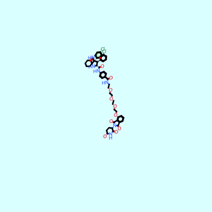 O=C1CCC(N2C(=O)c3cccc(OCCOCCOCCOCCNC(=O)c4ccc(NC(=O)[C@@H]5NC6(CCCCC6)[C@@]6(C(=O)Nc7cc(Cl)ccc76)[C@H]5c5cccc(Cl)c5F)cc4)c3C2=O)C(=O)N1